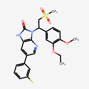 CCOc1cc(C(CS(C)(=O)=O)n2c(=O)[nH]c3cc(-c4cccc(F)c4)cnc32)ccc1OC